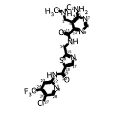 CN(C)Cc1c(N)ncnc1C(=O)NCc1ncc(C(=O)Nc2cc(C(F)(F)F)c(Cl)cn2)s1